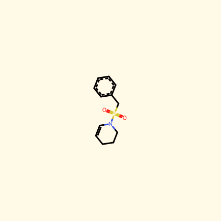 O=S(=O)(Cc1ccccc1)N1C=CCCC1